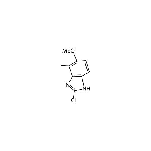 COc1ccc2[nH]c(Cl)nc2c1C